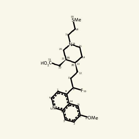 COc1ccc2nccc(C(F)CC[C@@H]3CCN(CCSC)C[C@@H]3CC(=O)O)c2c1